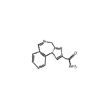 NC(=O)c1cn2c(n1)CN=Cc1ccncc1-2